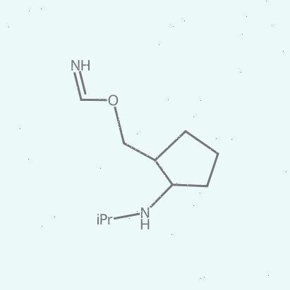 CC(C)NC1CCCC1COC=N